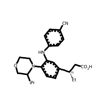 CC[C@@H](CC(=O)O)c1ccc(N2CCOCC2C(C)C)c(Nc2ccc(C#N)cc2)c1